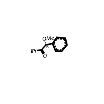 CO[C@@H](C(=O)C(C)C)c1ccccc1